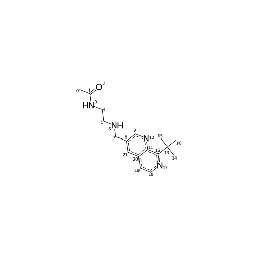 CC(=O)NCCNCc1cnc2c(C(C)(C)C)nccc2c1